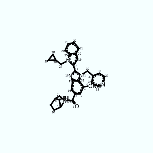 COc1cc(C(=O)N2CC3CCC2[C@@H]3N)cc2nc(-c3cc4ccccc4n3CC3CC3)n(Cc3ccncc3)c12